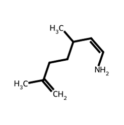 C=C(C)CCC(C)/C=C\N